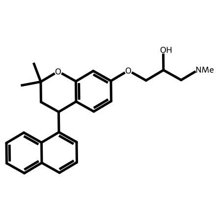 CNCC(O)COc1ccc2c(c1)OC(C)(C)CC2c1cccc2ccccc12